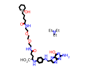 CCN(CC)CC.Nc1nc(O)c2nc(CNc3ccc(N[C@@H](CCC(=O)NCCOCCOCCNC(=O)CCCC[Si]4(O)CCCCC4)C(=O)O)cc3)cnc2n1